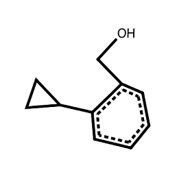 OCc1ccccc1C1CC1